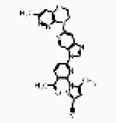 CC(=O)c1ccc(-n2cnc3cc(N4CCOc5cc(C)nnc54)ncc32)nc1-n1nc(C#N)cc1C